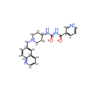 O=C(NC(=O)c1cccnc1)NC1CCN(Cc2ccc3ncccc3c2)CC1